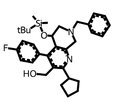 CC(C)(C)[Si](C)(C)OC1CN(Cc2ccccc2)Cc2nc(C3CCCC3)c(CO)c(-c3ccc(F)cc3)c21